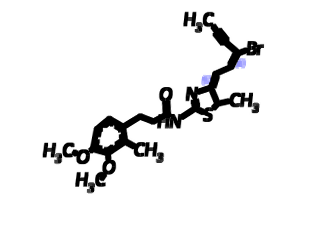 CC#C/C(Br)=C\C=C1\N=C(NC(=O)CCc2ccc(OC)c(OC)c2C)SC1C